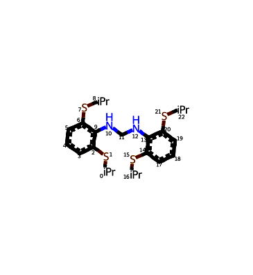 CC(C)Sc1cccc(SC(C)C)c1NCNc1c(SC(C)C)cccc1SC(C)C